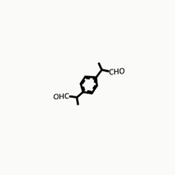 CC(C=O)c1ccc(C(C)C=O)cc1